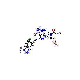 C=CC(=O)N1CC(n2nc(C#Cc3cc4ncn(CC)c4cc3Cl)c(C(N)=O)c2NC)C[C@@H]1COC